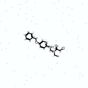 CCN(CNc1ccc(OCc2ccccc2)cn1)C(=O)CCl